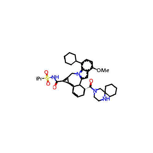 COc1ccc(C2CCCCC2)c2c1cc1n2CC2=C(C(=O)NS(=O)(=O)C(C)C)C2=C2C=CC[C@@H](C(=O)N3CCNC4(CCCCC4)C3)C21